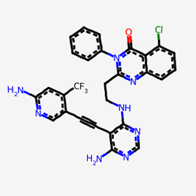 Nc1cc(C(F)(F)F)c(C#Cc2c(N)ncnc2NCCc2nc3cccc(Cl)c3c(=O)n2-c2ccccc2)cn1